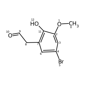 COc1cc(Br)cc(CC=O)c1O